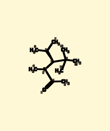 CC(=O)N(C)[C@@H](C(C)C)C(C)(C)C